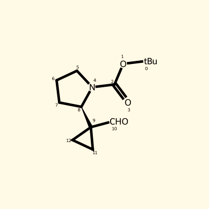 CC(C)(C)OC(=O)N1CCC[C@@H]1C1(C=O)CC1